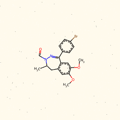 COc1cc2c(cc1OC)C(c1ccc(Br)cc1)=NN(C=O)C(C)C2